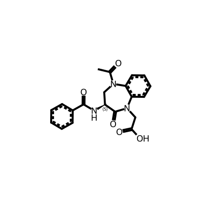 CC(=O)N1C[C@H](NC(=O)c2ccccc2)C(=O)N(CC(=O)O)c2ccccc21